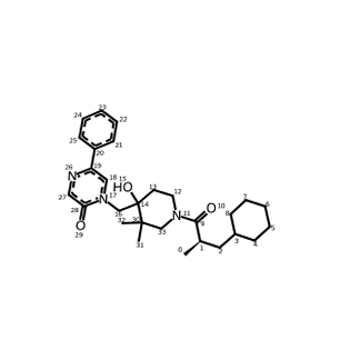 C[C@H](CC1CCCCC1)C(=O)N1CCC(O)(Cn2cc(-c3ccccc3)ncc2=O)C(C)(C)C1